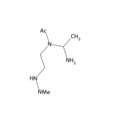 CNNCCN(C(C)=O)C(C)N